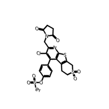 CC(C)S(=O)(=O)Oc1ccc(-c2c(Cl)c(CN3C(=O)CCC3=O)nc3sc4c(c23)CCS(=O)(=O)C4)cc1